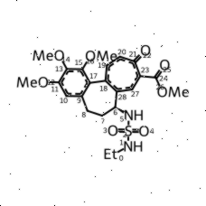 CCNS(=O)(=O)N[C@H]1CCc2cc(OC)c(OC)c(OC)c2-c2ccc(=O)c(C(=O)OC)cc21